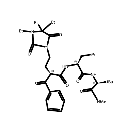 CCN1C(=O)N(CC[C@@H](C(=O)N[C@@H](CC(C)C)C(=O)N[C@H](C(=O)NC)C(C)(C)C)C(=S)c2ccccc2)C(=O)C1(CC)CC